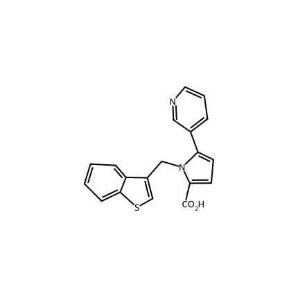 O=C(O)c1ccc(-c2cccnc2)n1Cc1csc2ccccc12